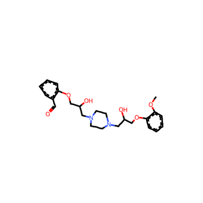 COc1ccccc1OCC(O)CN1CCN(CC(O)COc2ccccc2C=O)CC1